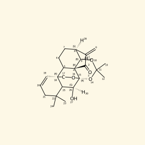 C=C1C(=O)[C@@]23C4CC[C@@H]1[C@H]2OC(C)(C)O[C@]31OC[C@]42C=CCC(C)(C)C2[C@@H]1O